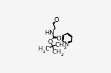 CC(C)(C)OC(=O)NCC=O.c1ccncc1